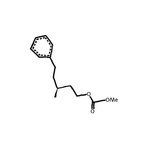 COC(=O)OCC[C@@H](C)CCc1ccccc1